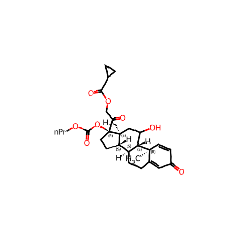 CCCOC(=O)O[C@]1(C(=O)COC(=O)C2CC2)CC[C@H]2[C@@H]3CCC4=CC(=O)C=C[C@]4(C)[C@H]3C(O)C[C@@]21C